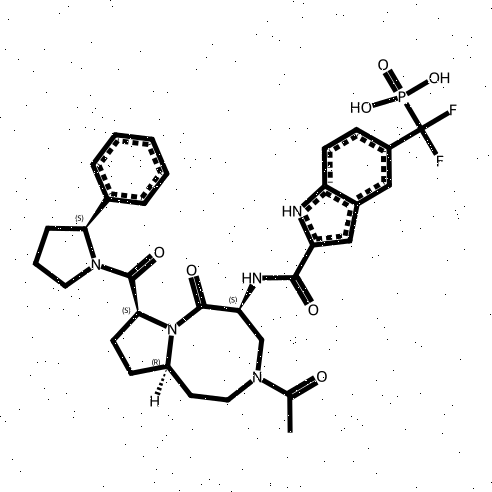 CC(=O)N1CC[C@H]2CC[C@@H](C(=O)N3CCC[C@H]3c3ccccc3)N2C(=O)[C@@H](NC(=O)c2cc3cc(C(F)(F)P(=O)(O)O)ccc3[nH]2)C1